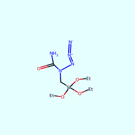 CCO[Si](CN(N=[N+]=[N-])C(N)=O)(OCC)OCC